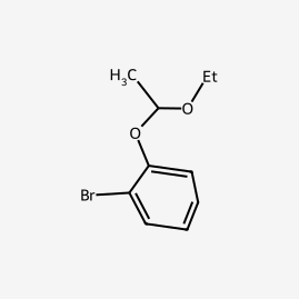 CCOC(C)Oc1ccccc1Br